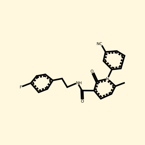 Cc1ccc(C(=O)NCCc2ccc(F)cc2)c(=O)n1-c1cccc(C#N)c1